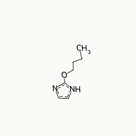 CCCCOc1ncc[nH]1